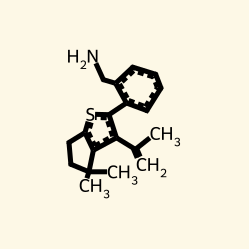 C=C(C)c1c(-c2ccccc2CN)sc2c1C(C)(C)CC2